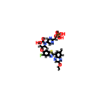 CCOc1cnc2c(-c3nc4cc(F)c(OC(C)C(C)N(C(=O)O)c5cnc(COP(=O)(O)O)nc5)cc4s3)cc(C)cc2n1